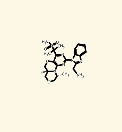 C[C@@H]1COC[C@@H]2COc3c(nc(-n4c(CN)nc5ccccc54)nc3C(C)(C)S(C)(=O)=O)N21